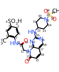 Cc1cc(S(=O)(=O)O)ccc1NC(=O)Cn1c(=O)ccc2cnc(NC3CCN(S(C)(=O)=O)CC3)nc21